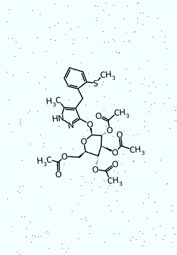 CSc1ccccc1Cc1c(O[C@@H]2O[C@H](COC(C)=O)[C@@H](OC(C)=O)[C@H](OC(C)=O)[C@H]2OC(C)=O)n[nH]c1C